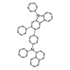 c1ccc(-c2cc3c(cc2-c2ccc(N(c4ccccc4)c4cccc5ccccc45)cc2)c2ccccc2n3-c2ccccc2)cc1